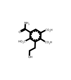 NC(=O)c1cc(C(=O)O)c(C(=O)O)c(CCO)c1C(=O)O